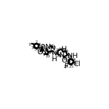 Cc1ccc(S(=O)(=O)n2ccc3c(N[C@@H]4CC[C@@H]5C[C@H](Nc6cc(F)cc(Cl)c6)C(=O)N5C4)ncnc32)cc1